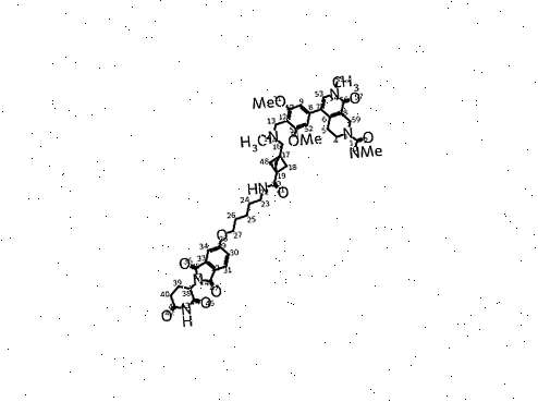 CNC(=O)N1CCc2c(-c3cc(OC)c(CN(C)CC45CC(C(=O)NCCCCCOc6ccc7c(c6)C(=O)N(C6CCC(=O)NC6=O)C7=O)(C4)C5)c(OC)c3)cn(C)c(=O)c2C1